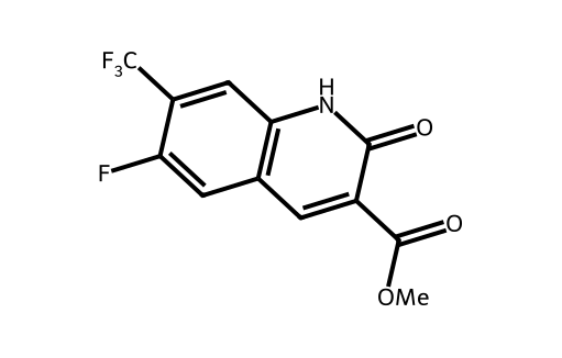 COC(=O)c1cc2cc(F)c(C(F)(F)F)cc2[nH]c1=O